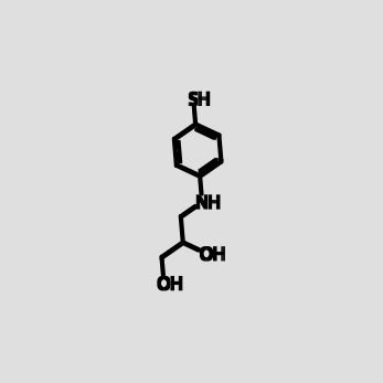 OCC(O)CNc1ccc(S)cc1